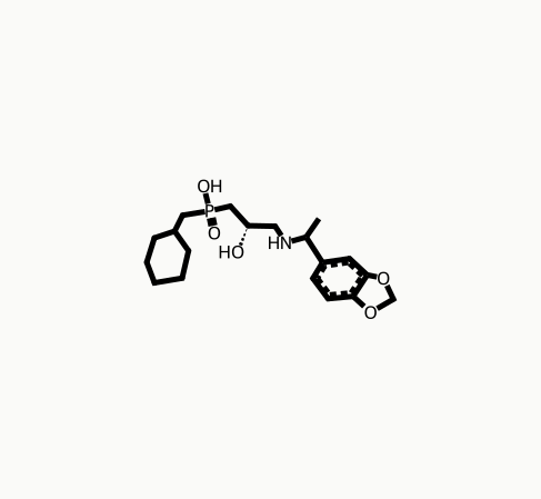 CC(NC[C@H](O)CP(=O)(O)CC1CCCCC1)c1ccc2c(c1)OCO2